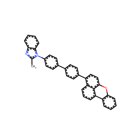 Cc1nc2ccccc2n1-c1ccc(-c2ccc(-c3ccc4c5c(cccc35)-c3ccccc3O4)cc2)cc1